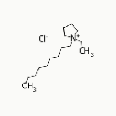 CCCCCCCCC[N+]1(CC)CCCC1.[Cl-]